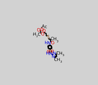 CC(=O)COC(=O)C(C)OC(=O)CCSCC(C)C(=O)Nc1ccc(S(=O)(=O)Nc2nc(C)cc(C)n2)cc1